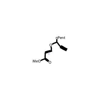 C#CC(CCCCC)O/C=C/C(=O)OC